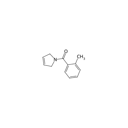 Cc1ccccc1C(=O)N1CC=CC1